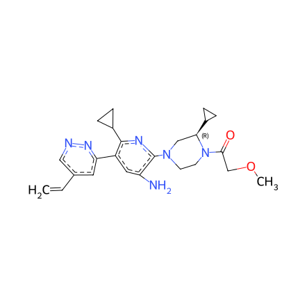 C=Cc1cnnc(-c2cc(N)c(N3CCN(C(=O)COC)[C@H](C4CC4)C3)nc2C2CC2)c1